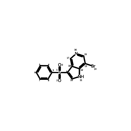 O=S(=O)(c1ccccc1)c1c[nH]c2c(Br)cncc12